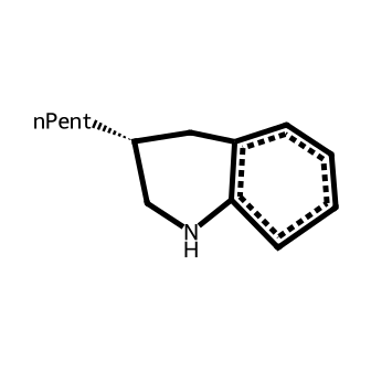 CCCCC[C@H]1CNc2ccccc2C1